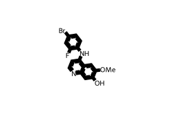 COc1cc2c(Nc3ccc(Br)cc3F)ccnc2cc1O